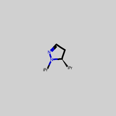 CC(C)[C@@H]1CC=NN1C(C)C